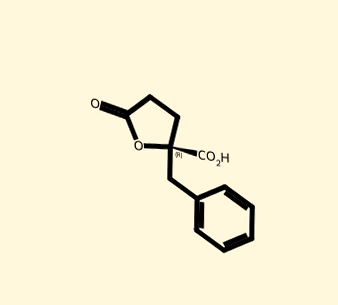 O=C1CC[C@@](Cc2ccccc2)(C(=O)O)O1